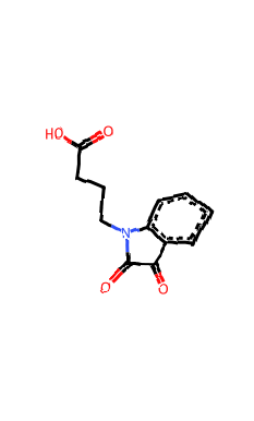 O=C(O)CCCN1C(=O)C(=O)c2ccccc21